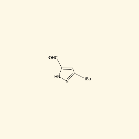 CC(C)(C)c1cc([C]=O)[nH]n1